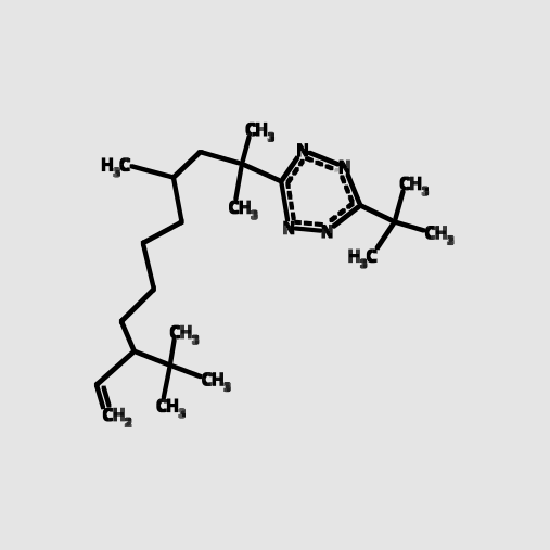 C=CC(CCCCC(C)CC(C)(C)c1nnc(C(C)(C)C)nn1)C(C)(C)C